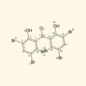 [O-][S+](c1c(O)c(Br)cc(Br)c1Br)c1c(O)c(Br)cc(Br)c1Br